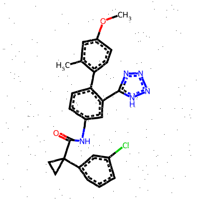 COc1ccc(-c2ccc(NC(=O)C3(c4cccc(Cl)c4)CC3)cc2-c2nnn[nH]2)c(C)c1